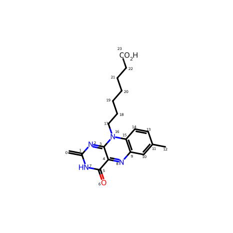 C=c1nc2c(c(=O)[nH]1)=Nc1cc(C)ccc1N2CCCCCCC(=O)O